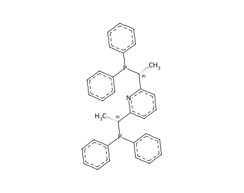 C[C@H](c1cccc([C@@H](C)P(c2ccccc2)c2ccccc2)n1)P(c1ccccc1)c1ccccc1